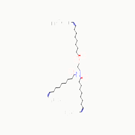 CCCCCCCC/C=C\CCCCCCCC(=O)OCCCN(C(=O)CCCCCCC/C=C\CCCCCCCC)C(=O)CCCCCCC/C=C\CCCCCCCC